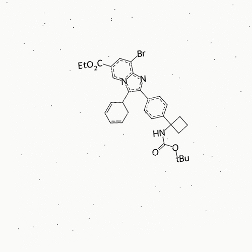 CCOC(=O)c1cc(Br)c2nc(-c3ccc(C4(NC(=O)OC(C)(C)C)CCC4)cc3)c(C3C=CC=CC3)n2c1